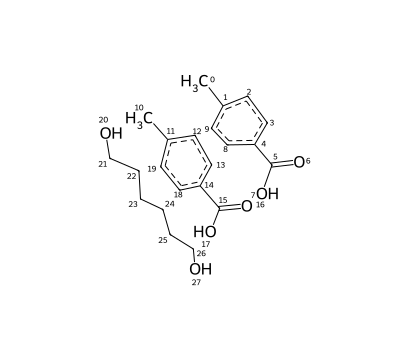 Cc1ccc(C(=O)O)cc1.Cc1ccc(C(=O)O)cc1.OCCCCCCO